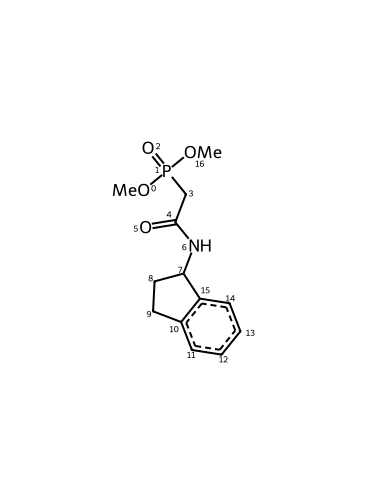 COP(=O)(CC(=O)NC1CCc2ccccc21)OC